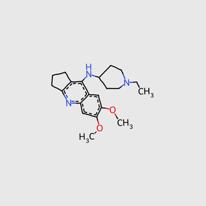 CCN1CCC(Nc2c3c(nc4cc(OC)c(OC)cc24)CCC3)CC1